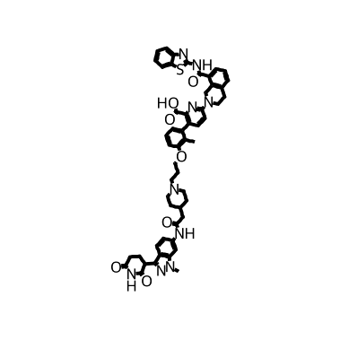 Cc1c(OCCCN2CCC(CC(=O)Nc3ccc4c(C5CCC(=O)NC5=O)nn(C)c4c3)CC2)cccc1-c1ccc(N2CCc3cccc(C(=O)Nc4nc5ccccc5s4)c3C2)nc1C(=O)O